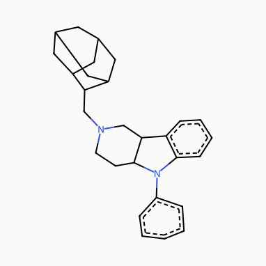 c1ccc(N2c3ccccc3C3CN(CC4C5CC6CC(C5)CC4C6)CCC32)cc1